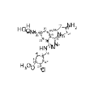 COc1ccc(CNc2nnc(N3CCC(N)CC3)c3ccc(C#N)cc23)cc1Cl.Cl.Cl